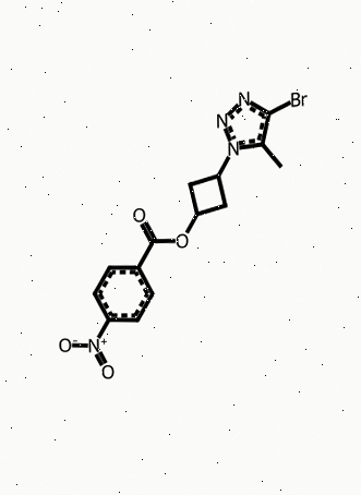 Cc1c(Br)nnn1C1CC(OC(=O)c2ccc([N+](=O)[O-])cc2)C1